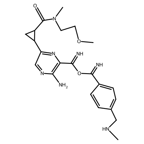 CNCc1ccc(C(=N)OC(=N)c2nc(C3CC3C(=O)N(C)CCOC)cnc2N)cc1